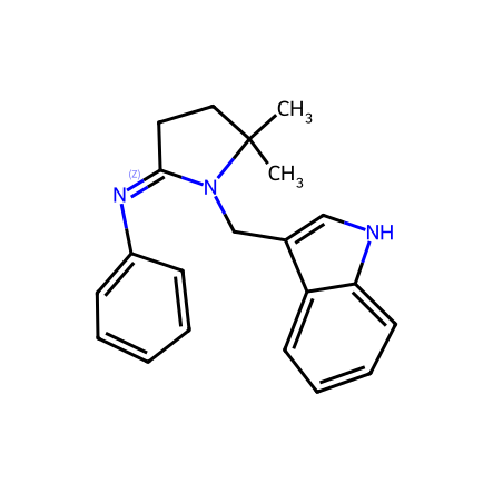 CC1(C)CC/C(=N/c2ccccc2)N1Cc1c[nH]c2ccccc12